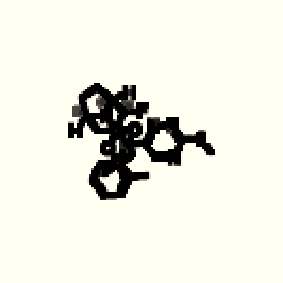 CSc1ncc(N(c2ccccc2C)[C@H]2C[C@@H]3CC[C@H]([C@H]2F)N3C(=O)OC(C)(C)C)nn1